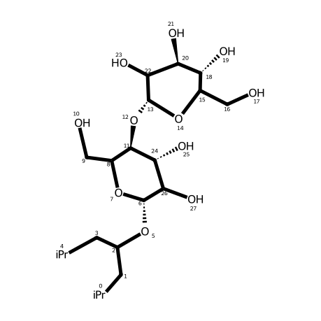 CC(C)CC(CC(C)C)O[C@@H]1OC(CO)[C@@H](O[C@H]2OC(CO)[C@@H](O)[C@H](O)C2O)[C@H](O)C1O